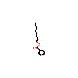 CCCCCC/C=C/OC(=O)c1ccccc1